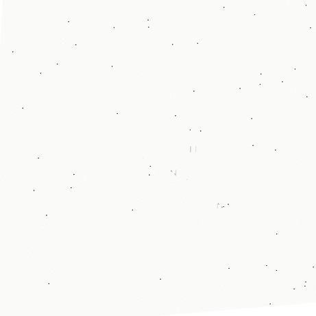 N#Cc1cccc(C[C@](N)(CO)C(=O)OCc2ccccc2)c1